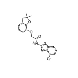 CC1(C)Cc2cccc(OCC(=O)Nc3nc4c(Br)cccc4s3)c2O1